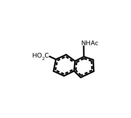 CC(=O)Nc1cccc2ccc(C(=O)O)cc12